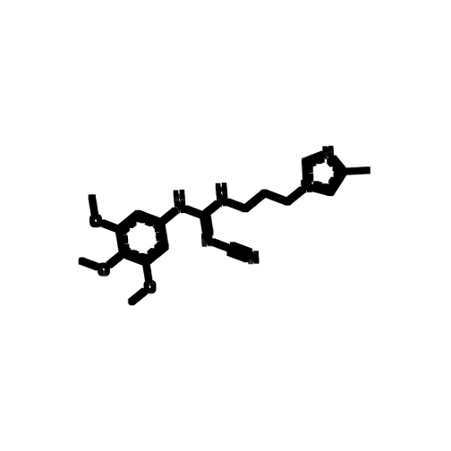 COc1cc(NC(=NC#N)NCCCn2cnc(C)c2)cc(OC)c1OC